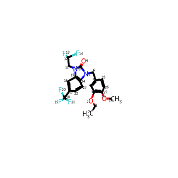 CCOc1cc(Cn2c(=O)n(CC(F)F)c3cc(C(F)(F)F)ccc32)ccc1OC